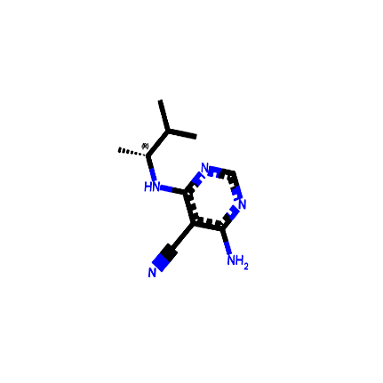 CC(C)[C@@H](C)Nc1ncnc(N)c1C#N